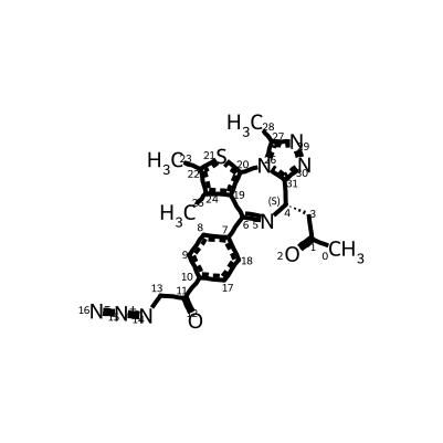 CC(=O)C[C@@H]1N=C(c2ccc(C(=O)CN=[N+]=[N-])cc2)c2c(sc(C)c2C)-n2c(C)nnc21